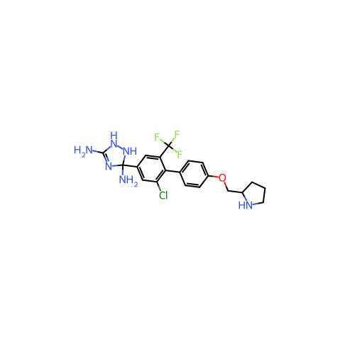 NC1=NC(N)(c2cc(Cl)c(-c3ccc(OCC4CCCN4)cc3)c(C(F)(F)F)c2)NN1